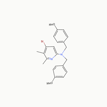 COc1ccc(CN(Cc2ccc(OC)cc2)c2cc(Br)c(C)c(C)n2)cc1